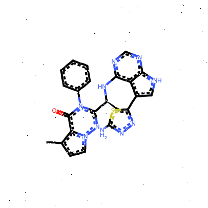 Cc1ccn2nc([C@H](C)Nc3ncnc4[nH]cc(-c5nnc(N)s5)c34)n(-c3ccccc3)c(=O)c12